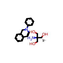 C1=CN(c2ccccc2)Cc2ccccc21.NC(CO)(CO)CO.[Ir]